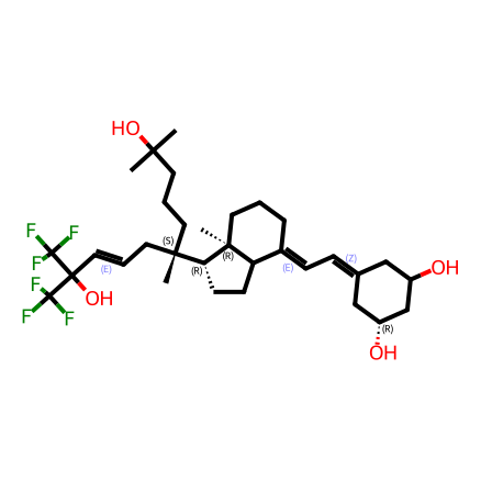 CC(C)(O)CCC[C@@](C)(C/C=C/C(O)(C(F)(F)F)C(F)(F)F)[C@H]1CCC2/C(=C/C=C3/CC(O)C[C@H](O)C3)CCC[C@@]21C